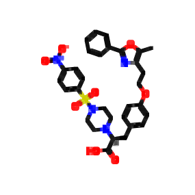 Cc1oc(-c2ccccc2)nc1CCOc1ccc(C[C@@H](C(=O)O)N2CCN(S(=O)(=O)c3ccc([N+](=O)[O-])cc3)CC2)cc1